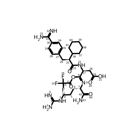 N=C(N)NCCC[C@H](N=C(OC(=O)C(F)(F)F)[C@H](CC(=O)O)NC(=O)[C@@H](Cc1ccc(C(=N)N)cc1)C1CCCCC1)C(N)=O